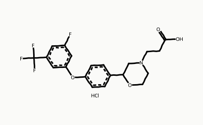 Cl.O=C(O)CCN1CCOC(c2ccc(Oc3cc(F)cc(C(F)(F)F)c3)cc2)C1